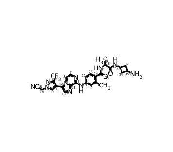 Cc1cc(Nc2nccn3c(-c4cn(CC#N)nc4C(F)(F)F)cnc23)ccc1C(=O)NC(C)C(=O)NC1CC(N)C1